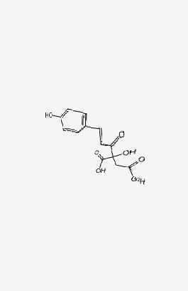 [2H]OC(=O)CC(O)(C(=O)O)C(=O)/C=C/c1ccc(O)cc1